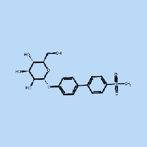 CS(=O)(=O)c1ccc(-c2ccc(O[C@H]3O[C@H](CO)[C@@H](O)[C@H](O)[C@@H]3O)cc2)cc1